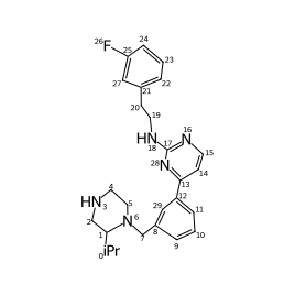 CC(C)C1CNCCN1Cc1cccc(-c2ccnc(NCCc3cccc(F)c3)n2)c1